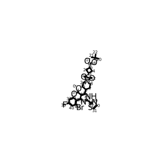 COC(=O)C1=C(C2CCN(S(=O)(=O)[C@H]3C[C@H](C(=O)OC(C)(C)C)C3)CC2)NC(c2nccs2)=NC1c1ccc(F)cc1Br